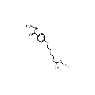 COC(C)CCCCCOc1ccc(C(=O)NN)cc1